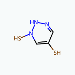 SC1=CN(S)NN=C1